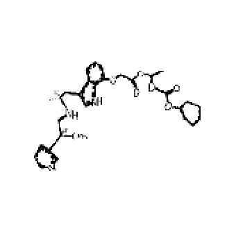 CC(OC(=O)COc1cccc2c(C[C@@H](C)NC[C@@H](O)c3cccnc3)c[nH]c12)OC(=O)OC1CCCCC1